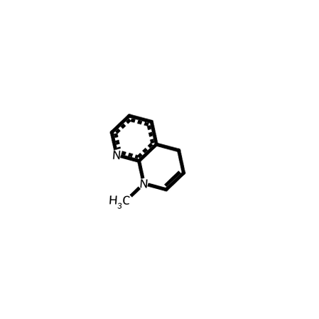 CN1C=CCc2cccnc21